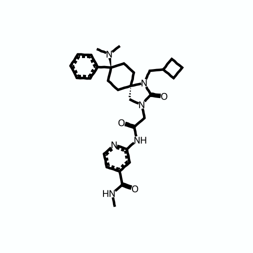 CNC(=O)c1ccnc(NC(=O)CN2C[C@]3(CC[C@](c4ccccc4)(N(C)C)CC3)N(CC3CCC3)C2=O)c1